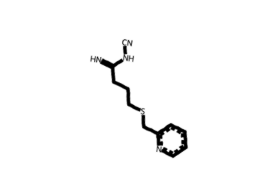 N#CNC(=N)CCCSCc1ccccn1